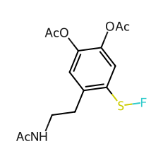 CC(=O)NCCc1cc(OC(C)=O)c(OC(C)=O)cc1SF